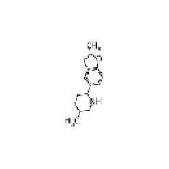 CC1CCC(c2ccc3c(c2)CC(C)O3)NC1